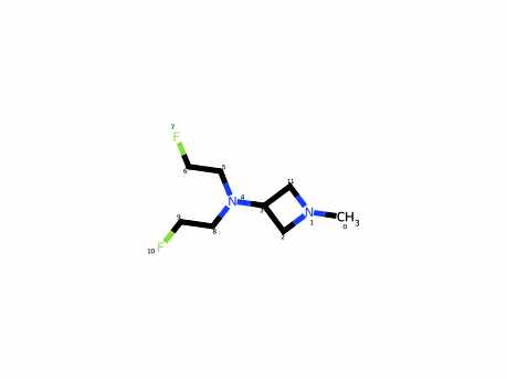 CN1CC(N(CCF)CCF)C1